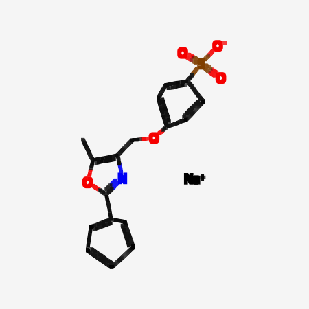 Cc1oc(-c2ccccc2)nc1COc1ccc(S(=O)(=O)[O-])cc1.[Na+]